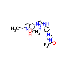 C=CCc1ccc2c(n1)C(C)(O)CC(N1C=CC(Nc3ccc(N4CCN(C(=O)C(F)(F)F)CC4)cc3)N1)C2